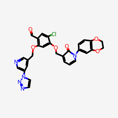 O=Cc1cc(Cl)c(OCc2cccn(-c3ccc4c(c3)OCCO4)c2=O)cc1OCc1cncc(-n2ccnn2)c1